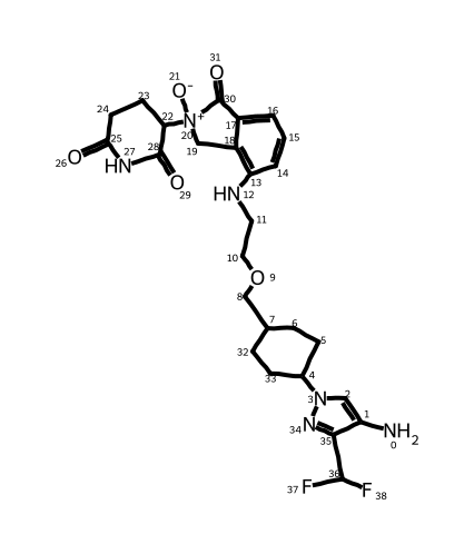 Nc1cn(C2CCC(COCCNc3cccc4c3C[N+]([O-])(C3CCC(=O)NC3=O)C4=O)CC2)nc1C(F)F